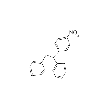 O=[N+]([O-])c1ccc(C(Cc2ccccc2)c2ccccc2)cc1